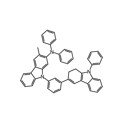 Cc1cc2c3ccccc3n(-c3cccc(C4=Cc5c(n(-c6ccccc6)c6ccccc56)CC4)c3)c2cc1N(c1ccccc1)c1ccccc1